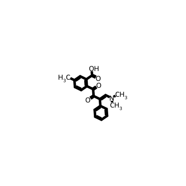 Cc1ccc(C(=O)C(=O)C(=CN(C)C)c2ccccc2)c(C(=O)O)c1